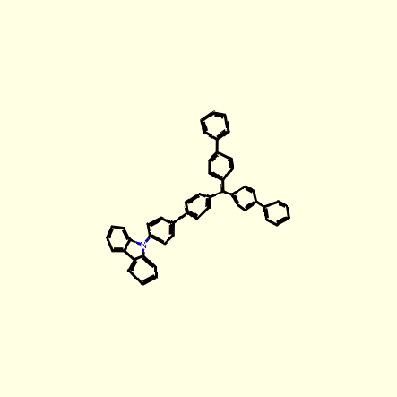 c1ccc(-c2ccc(C(c3ccc(-c4ccccc4)cc3)c3ccc(-c4ccc(-n5c6ccccc6c6ccccc65)cc4)cc3)cc2)cc1